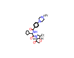 CCCN1CCN(c2ccc(C(=O)NC(C(=O)N3CC(CC)[C@H]4OCC(=O)[C@H]43)C3CCCC3)cc2)CC1